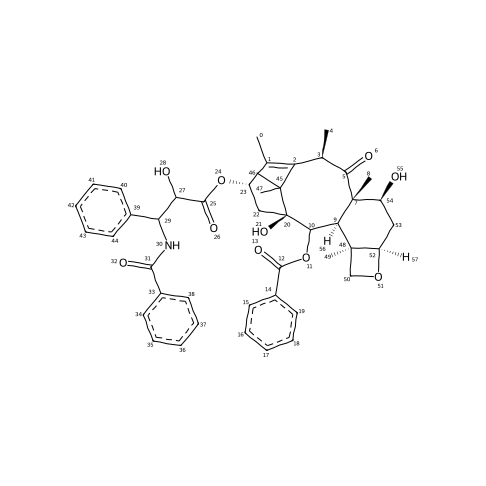 CC1=C2[C@@H](C)C(=O)[C@@]3(C)[C@H](C(OC(=O)c4ccccc4)[C@](O)(C[C@@H]1OC(=O)C(O)C(NC(=O)c1ccccc1)c1ccccc1)C2(C)C)[C@]1(C)CO[C@@H]1C[C@@H]3O